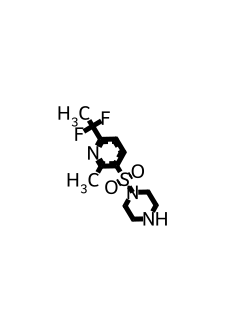 Cc1nc(C(C)(F)F)ccc1S(=O)(=O)N1CCNCC1